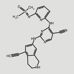 C#Cc1cc(Nc2ncc(C#N)c(Nc3cccc(N=S(C)(C)=O)n3)n2)cc2c1CCNC2